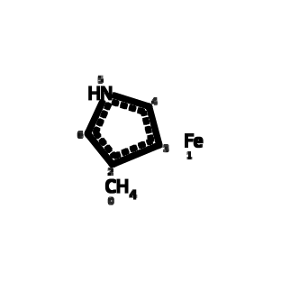 C.[Fe].c1cc[nH]c1